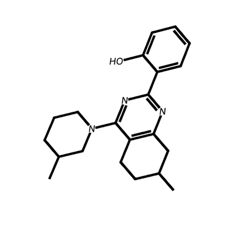 CC1CCc2c(nc(-c3ccccc3O)nc2N2CCCC(C)C2)C1